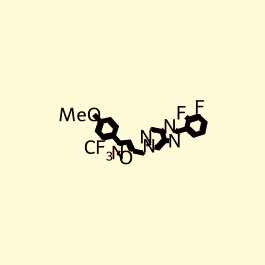 COc1ccc(-c2cc(Cn3cc4nc(-c5cccc(F)c5F)nc-4cn3)on2)c(C(F)(F)F)c1